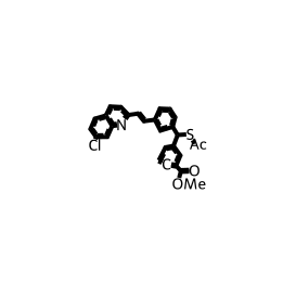 COC(=O)c1cccc(C(SC(C)=O)c2cccc(C=Cc3ccc4ccc(Cl)cc4n3)c2)c1